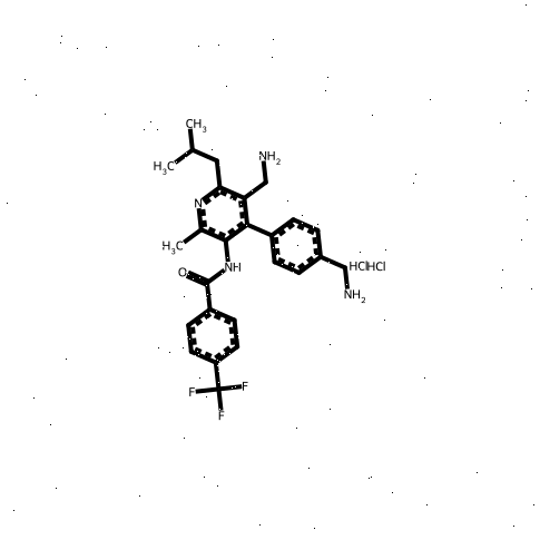 Cc1nc(CC(C)C)c(CN)c(-c2ccc(CN)cc2)c1NC(=O)c1ccc(C(F)(F)F)cc1.Cl.Cl